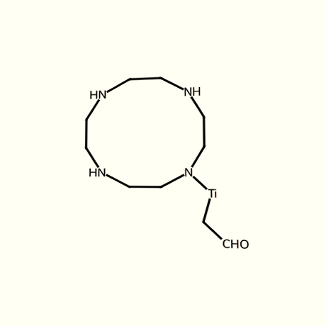 O=C[CH2][Ti][N]1CCNCCNCCNCC1